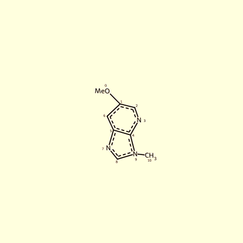 COc1cnc2c(c1)ncn2C